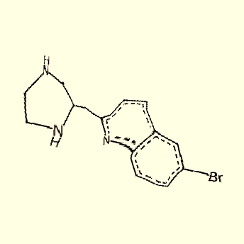 Brc1ccc2nc(C3CNCCN3)ccc2c1